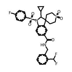 O=C(NCc1ccccc1C(F)F)c1ccc2c(c1)C1(CCS(=O)(=O)CC1)C(C1CC1)N2S(=O)(=O)c1ccc(F)cc1